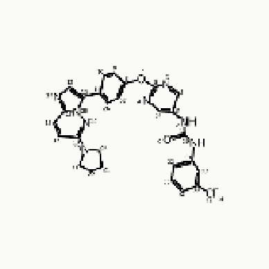 O=C(Nc1cnc(Oc2ccc(-c3cnc4ccc(N5CCCC5)nn34)cc2)nc1)Nc1cccc(C(F)(F)F)c1